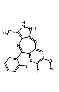 CCOc1cc2c(cc1F)C(c1ccccc1Cl)=NC1=C(C)NNC1=N2